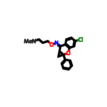 CNCCCON=C1c2ccc(Cl)cc2OC2(c3ccccc3)CC12